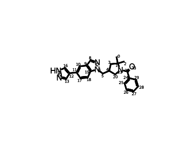 CC1(C)CC(Cn2ncc3cc(-c4cn[nH]c4)ccc32)CN1C(=O)c1ccccc1